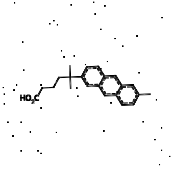 Cc1ccc2cc3cc(C(C)(C)CCCC(=O)O)ccc3cc2c1